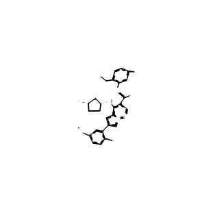 CCc1ccc(F)cc1N=C(N)c1cnn2cc(-c3cc(OC)ccc3C)cc2c1N[C@H]1CC[C@@H](N)C1